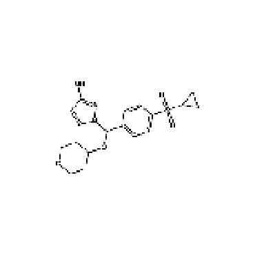 O=S(=O)(c1ccc(C(OC2CCOCC2)n2ccc(O)n2)cc1)C1CC1